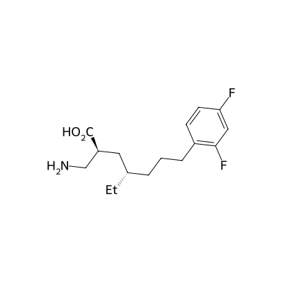 CC[C@@H](CCCc1ccc(F)cc1F)C[C@@H](CN)C(=O)O